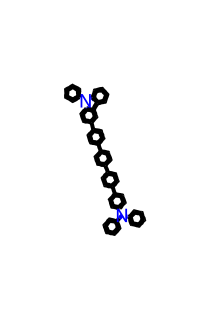 c1ccc(N(c2ccccc2)c2ccc(-c3ccc(-c4ccc(-c5ccc(-c6ccc7c(c6)c6ccccc6n7-c6ccccc6)cc5)cc4)cc3)cc2)cc1